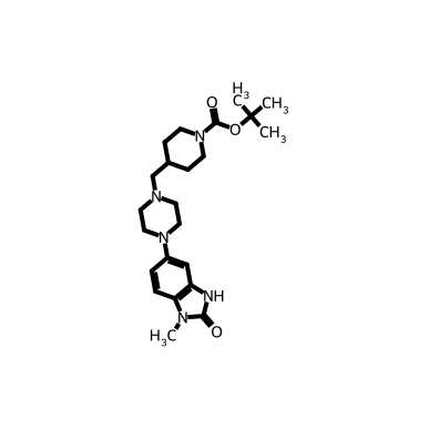 Cn1c(=O)[nH]c2cc(N3CCN(CC4CCN(C(=O)OC(C)(C)C)CC4)CC3)ccc21